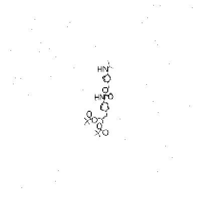 CC(C)Nc1ccc(COC(=O)Nc2ccc(C=C(COC(=O)C(C)(C)C)COC(=O)C(C)(C)C)cc2)cc1